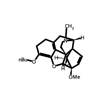 CCCCOC1=C2O[C@H]3[C@@]4(OC)C=C[C@@]5(C[C@@H]4C(C)=O)[C@H]4CC(=C2[C@@]35CCN4C)CC1